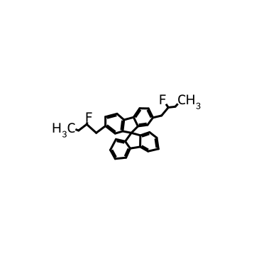 CCC(F)Cc1ccc2c(c1)C1(c3ccccc3-c3ccccc31)c1cc(CC(F)CC)ccc1-2